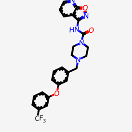 O=C(Nc1noc2ncccc12)N1CCN(Cc2cccc(Oc3cccc(C(F)(F)F)c3)c2)CC1